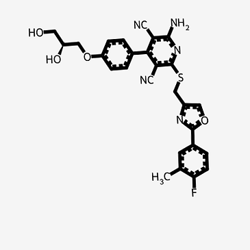 Cc1cc(-c2nc(CSc3nc(N)c(C#N)c(-c4ccc(OC[C@@H](O)CO)cc4)c3C#N)co2)ccc1F